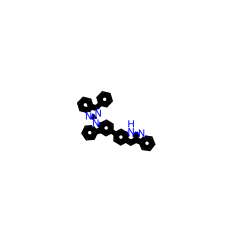 c1ccc(-c2nc(-n3c4ccccc4c4cc(-c5ccc6cc7c8ccccc8nc-7[nH]c6c5)ccc43)nc3ccccc23)cc1